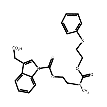 CN(CCOC(=O)n1cc(CC(=O)O)c2ccccc21)C(=O)OCCSc1ccccc1